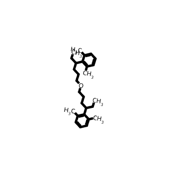 CCC(CCCOCCCC(CC)c1c(C)cccc1C)c1c(C)cccc1C